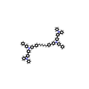 c1ccc(-c2ccc(N(c3ccc(-c4ccc(CCCCCCc5ccc(-c6ccc(N(c7ccc(-c8ccccc8)cc7)c7ccc(-c8ccc9c(c8)c8ccccc8n9-c8ccccc8)cc7)cc6)cc5)cc4)cc3)c3ccc(-c4ccc5c(c4)c4ccccc4n5-c4ccccc4)cc3)cc2)cc1